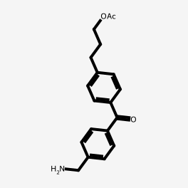 CC(=O)OCCCc1ccc(C(=O)c2ccc(CN)cc2)cc1